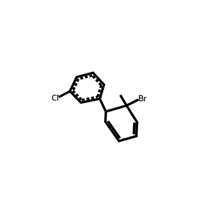 CC1(Br)C=CC=CC1c1cccc(Cl)c1